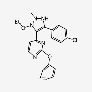 CCON1C(c2ccnc(Oc3ccccc3)n2)=C(c2ccc(Cl)cc2)NN1C